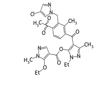 CCOc1c(C(=O)Oc2c(C(=O)c3ccc(S(C)(=O)=O)c(Cn4cc(Cl)cn4)c3C)c(C)nn2CC)cnn1C